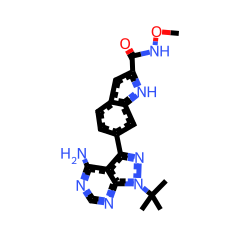 CONC(=O)c1cc2ccc(-c3nn(C(C)(C)C)c4ncnc(N)c34)cc2[nH]1